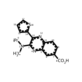 CC(C)N(C)c1nc2cc(C(=O)O)ccc2nc1-c1cccs1